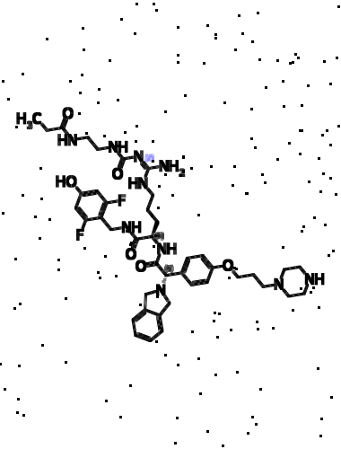 CCC(=O)NCCNC(=O)/N=C(/N)NCCC[C@@H](NC(=O)[C@H](c1ccc(OCCCN2CCNCC2)cc1)N1Cc2ccccc2C1)C(=O)NCc1c(F)cc(O)cc1F